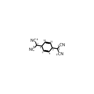 N#CC(C#N)C1C=CC(C(C#N)C#N)C=C1